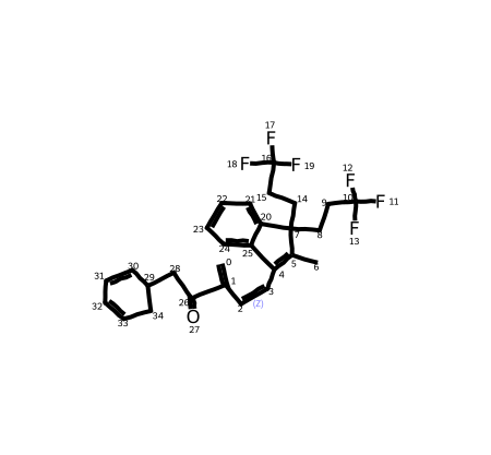 C=C(/C=C\C1=C(C)C(CCC(F)(F)F)(CCC(F)(F)F)c2ccccc21)C(=O)CC1C=CC=CC1